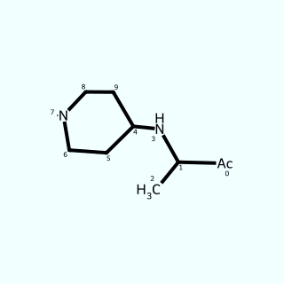 CC(=O)C(C)NC1CC[N]CC1